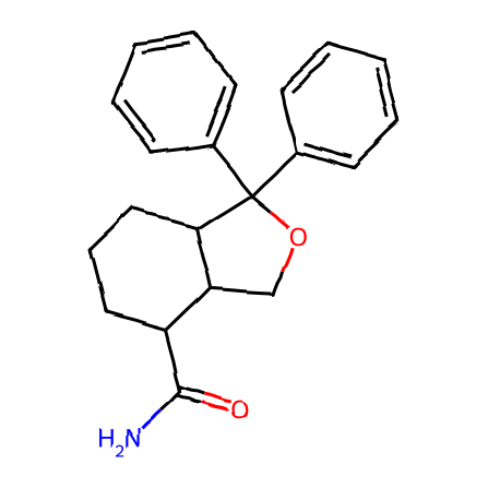 NC(=O)C1CCCC2C1COC2(c1ccccc1)c1ccccc1